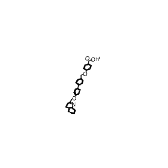 O=C(O)c1ccc(OCc2ccc(-c3ccc(OCc4ccc5ccccc5n4)cc3)cc2)cc1